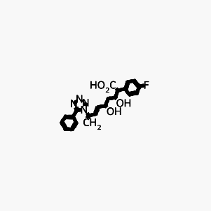 C=C(C=CC(O)CC(O)C(C(=O)O)c1ccc(F)cc1)n1nnnc1-c1ccccc1